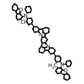 Cc1ccc2c(oc3ccccc32)c1N(c1ccccc1)c1ccc(-c2ccc3c(c2)c2cccc4c5cc6c(cc5n3c24)c2cccc3c4cc(-c5ccc(N(c7ccccc7)c7c(C)ccc8c7oc7ccccc78)cc5)ccc4n6c32)cc1